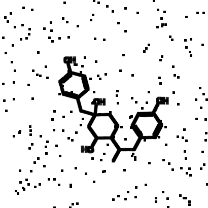 CC(Cc1ccc(O)cc1)C1CCC(O)(Cc2ccc(O)cc2)CC1O